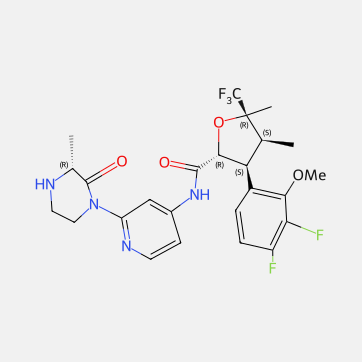 COc1c([C@H]2[C@H](C(=O)Nc3ccnc(N4CCN[C@H](C)C4=O)c3)O[C@@](C)(C(F)(F)F)[C@H]2C)ccc(F)c1F